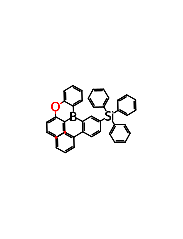 c1ccc(-c2ccc([Si](c3ccccc3)(c3ccccc3)c3ccccc3)cc2B2c3ccccc3Oc3ccccc32)cc1